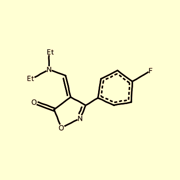 CCN(C=C1C(=O)ON=C1c1ccc(F)cc1)CC